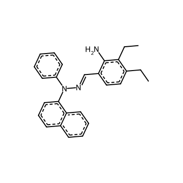 CCc1ccc(C=NN(c2ccccc2)c2cccc3ccccc23)c(N)c1CC